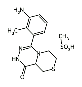 CS(=O)(=O)O.Cc1c(N)cccc1C1=NNC(=O)C2CSCCN12